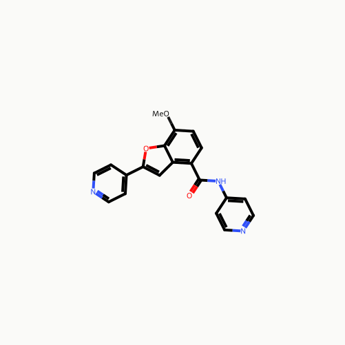 COc1ccc(C(=O)Nc2ccncc2)c2cc(-c3ccncc3)oc12